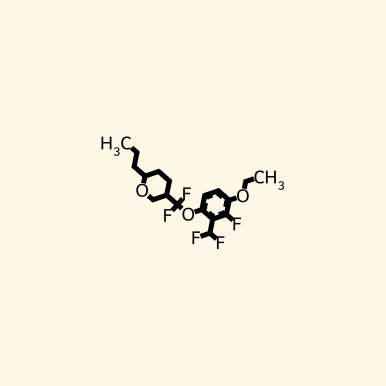 CCCC1CCC(C(F)(F)Oc2ccc(OCC)c(F)c2C(F)F)CO1